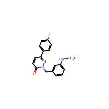 O=C(O)Nc1cccc(Cn2nc(-c3ccc(F)cc3)ccc2=O)c1